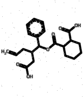 C=CCC(CC(=O)O)C(OC(=O)C1CCCCC1C(=O)O)c1ccccc1